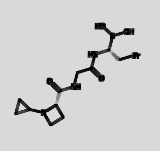 CC(C)C[C@H](NC(=O)CNC(=O)[C@@H]1CCN1C1CC1)B(O)O